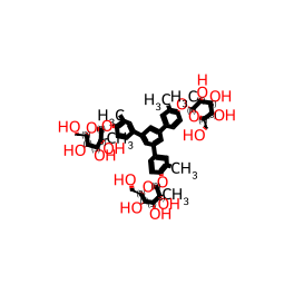 Cc1cc(-c2cc(-c3ccc(O[C@H]4O[C@H](CO)[C@@H](O)[C@H](O)[C@]4(C)O)c(C)c3)cc(-c3ccc(O[C@H]4O[C@H](CO)[C@@H](O)[C@H](O)[C@]4(C)O)c(C)c3)c2)ccc1O[C@H]1O[C@H](CO)[C@@H](O)[C@H](O)[C@]1(C)O